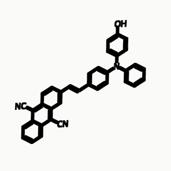 N#Cc1c2ccccc2c(C#N)c2cc(C=Cc3ccc(N(c4ccccc4)c4ccc(O)cc4)cc3)ccc12